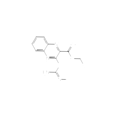 CCOC(=O)c1nc2ccccc2nc1S/C(N)=N\C